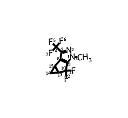 Cn1nc(C(F)(F)F)c2c1C(F)(F)C1CC21